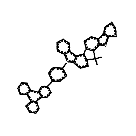 CC1(C)c2ccc3c(c2-c2ccc4c(oc5ccccc54)c21)c1ccccc1n3-c1ccc(-c2ccc3c4ccccc4c4ccccc4c3c2)cc1